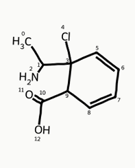 CC(N)C1(Cl)C=CC=CC1C(=O)O